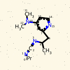 CC(C)N=C=NC(C)Cc1cc(N(C)C)ccn1